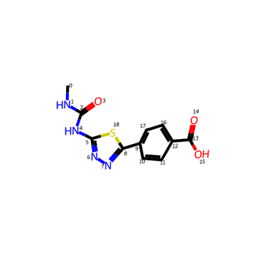 CNC(=O)Nc1nnc(-c2ccc(C(=O)O)cc2)s1